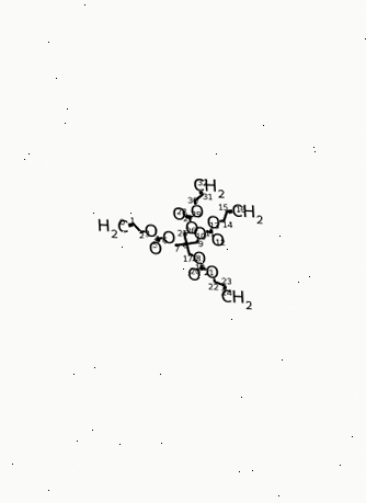 C=CCOC(=O)OCC(COC(=O)OCC=C)(COC(=O)OCC=C)COC(=O)OCC=C